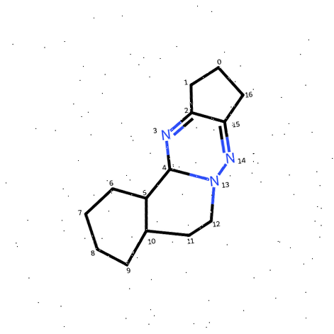 C1CC2=NC3C4CCCCC4CCN3N=C2C1